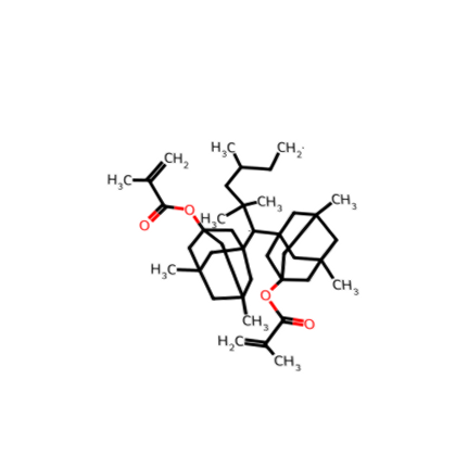 [CH2]CC(C)CC(C)(C)[C](C12CC3(C)CC(C)(CC(OC(=O)C(=C)C)(C3)C1)C2)C12CC3(C)CC(C)(CC(OC(=O)C(=C)C)(C3)C1)C2